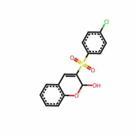 O=S(=O)(C1=Cc2ccccc2OC1O)c1ccc(Cl)cc1